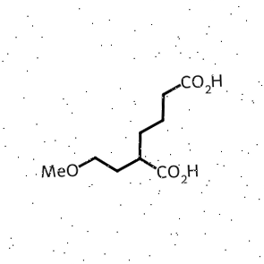 COCCC(CCCC(=O)O)C(=O)O